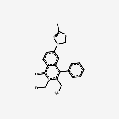 CC1=NN(c2ccc3c(=O)n(CC(C)C)c(CN)c(-c4ccccc4)c3c2)CO1